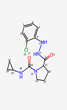 O=C(NNc1ccccc1Cl)C1CCCN1C(=O)NC1CC1